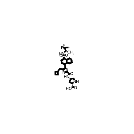 C[C@H](NS(=O)(=O)c1ccc(-c2sc(C(=O)N[C@@H]3CN[C@H](C(=O)O)C3)nc2CC2CCC2)c2ccccc12)C(F)(F)F